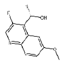 COc1ccc2ncc(F)c([C@H](C)O)c2c1